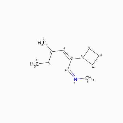 CCC(C)/C=C(\C=N/C)C1CCC1